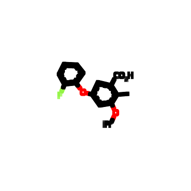 Cc1c(OC(C)C)cc(Oc2ccccc2F)cc1C(=O)O